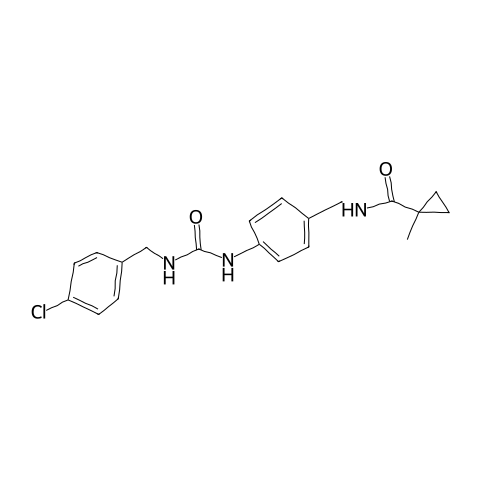 CC1(C(=O)NCc2ccc(NC(=O)NCc3ccc(Cl)cc3)cc2)CC1